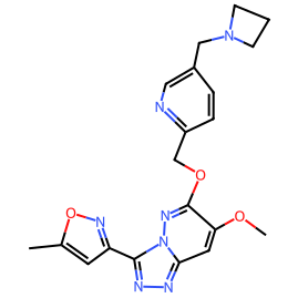 COc1cc2nnc(-c3cc(C)on3)n2nc1OCc1ccc(CN2CCC2)cn1